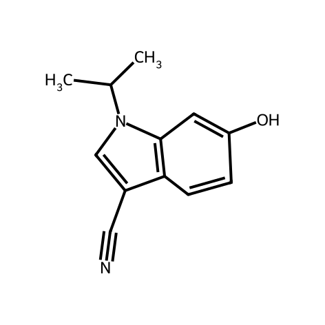 CC(C)n1cc(C#N)c2ccc(O)cc21